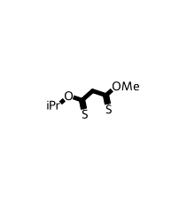 COC(=S)CC(=S)OC(C)C